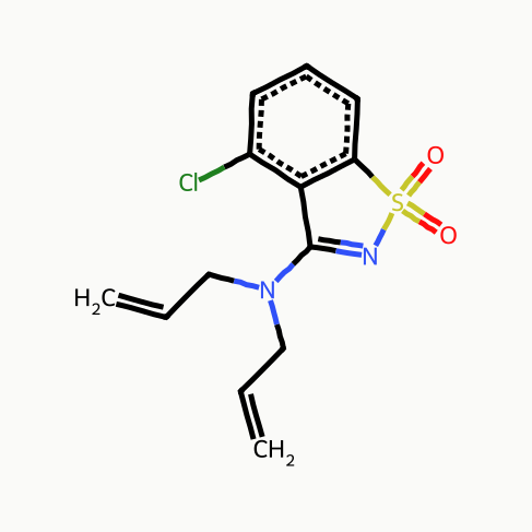 C=CCN(CC=C)C1=NS(=O)(=O)c2cccc(Cl)c21